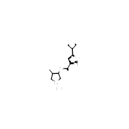 CC1CN(C(C)C)CC1NC(=O)c1cc(C2COC2)on1